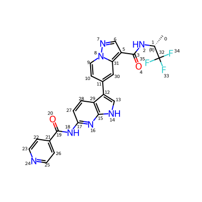 C[C@@H](NC(=O)c1cnn2ccc(-c3c[nH]c4nc(NC(=O)c5ccncc5)ccc34)cc12)C(F)(F)F